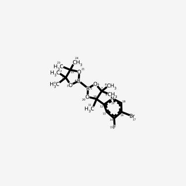 CC1(C)OB(B2OC(C)(C)C(C)(c3cc(F)c(Br)cn3)O2)OC1(C)C